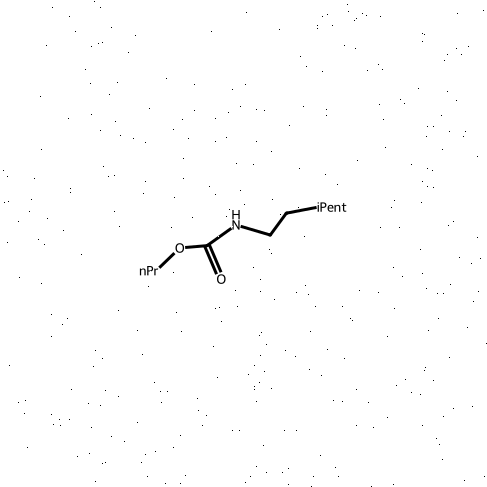 CCCOC(=O)NCCC(C)CCC